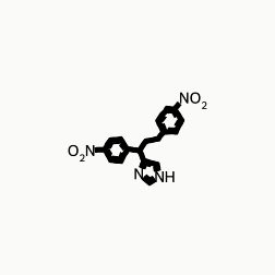 O=[N+]([O-])c1ccc(CCC(c2ccc([N+](=O)[O-])cc2)c2c[nH]cn2)cc1